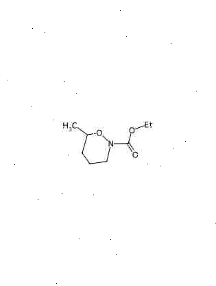 CCOC(=O)N1CCCC(C)O1